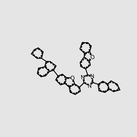 c1ccc(-c2ccc(-c3ccc4c(c3)oc3c(-c5nc(-c6ccc7ccccc7c6)nc(-c6ccc7c(c6)oc6ccccc67)n5)cccc34)c3ccccc23)cc1